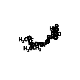 Cc1cccc(F)c1CN1C[C@H](c2ccc(N3CCN(CC4CCN(C(=O)CNc5cccc6c5C(=O)N(C5CCC(=O)NC5=O)C6=O)CC4)CC3)cc2)[C@@H](N(C)C)C1